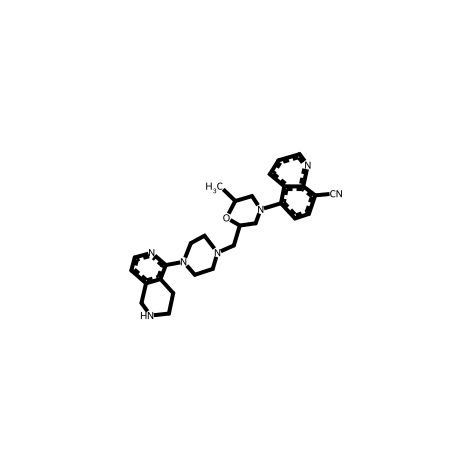 CC1CN(c2ccc(C#N)c3ncccc23)CC(CN2CCN(c3nccc4c3CCNC4)CC2)O1